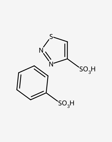 O=S(=O)(O)c1ccccc1.O=S(=O)(O)c1csnn1